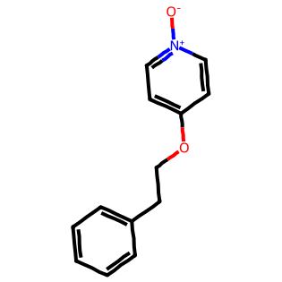 [O-][n+]1ccc(OCCc2ccccc2)cc1